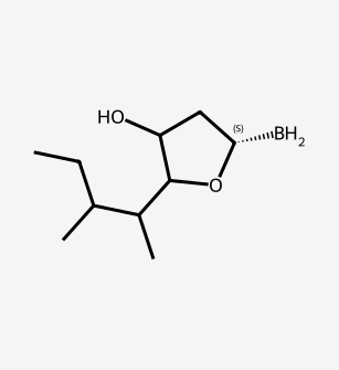 B[C@H]1CC(O)C(C(C)C(C)CC)O1